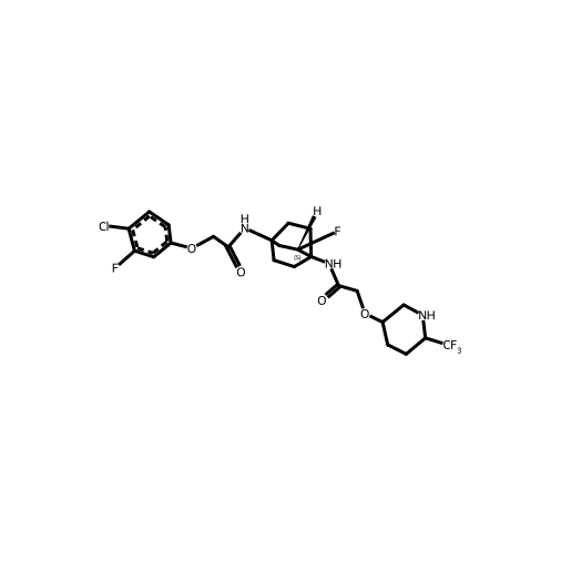 O=C(COc1ccc(Cl)c(F)c1)NC12CCC(NC(=O)COC3CCC(C(F)(F)F)NC3)(CC1)[C@@H](F)C2